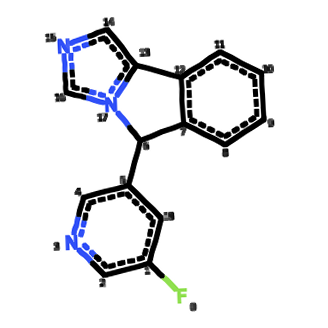 Fc1cncc(C2c3ccccc3-c3cncn32)c1